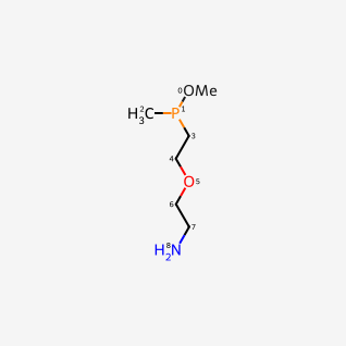 COP(C)CCOCCN